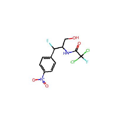 O=C(NC(CO)C(F)c1ccc([N+](=O)[O-])cc1)C(F)(Cl)Cl